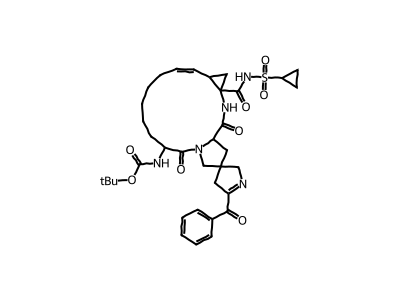 CC(C)(C)OC(=O)NC1CCCCC/C=C\C2CC2(C(=O)NS(=O)(=O)C2CC2)NC(=O)C2CC3(CN=C(C(=O)c4ccccc4)C3)CN2C1=O